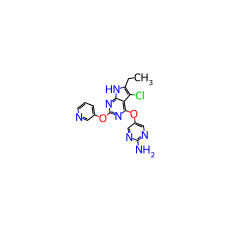 CCc1[nH]c2nc(Oc3cccnc3)nc(Oc3cnc(N)nc3)c2c1Cl